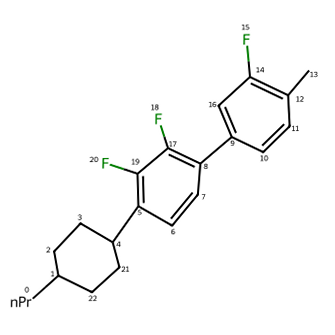 CCCC1CCC(c2ccc(-c3ccc(C)c(F)c3)c(F)c2F)CC1